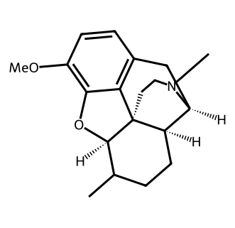 COc1ccc2c3c1O[C@@H]1C(C)CC[C@@H]4[C@H](C2)N(C)CC[C@@]314